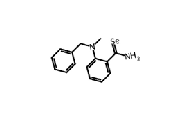 CN(Cc1ccccc1)c1ccccc1C(N)=[Se]